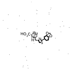 CC[C@H](C)[C@H](NC(=O)Cc1csc(-c2ccc3c(c2)OCO3)n1)C(=O)O